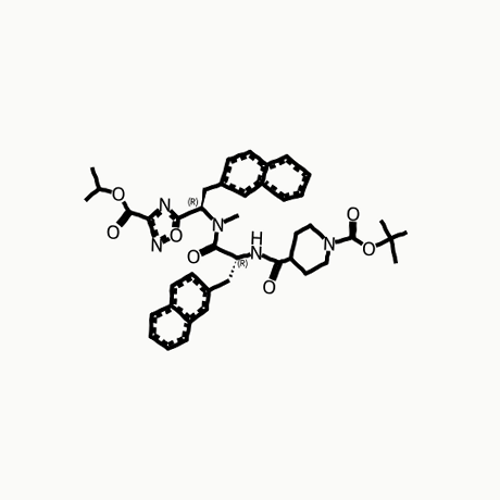 CC(C)OC(=O)c1noc([C@@H](Cc2ccc3ccccc3c2)N(C)C(=O)[C@@H](Cc2ccc3ccccc3c2)NC(=O)C2CCN(C(=O)OC(C)(C)C)CC2)n1